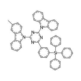 Cc1ccc2c(c1)c1ccccc1n2-c1nc(-c2cccc([Si](c3ccccc3)(c3ccccc3)c3ccccc3)c2)nc(-n2c3ccccc3c3ccccc32)n1